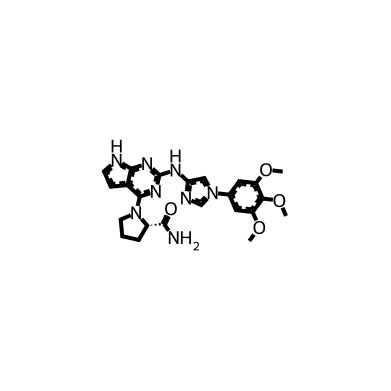 COc1cc(-n2cnc(Nc3nc(N4CCC[C@H]4C(N)=O)c4cc[nH]c4n3)c2)cc(OC)c1OC